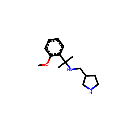 COc1ccccc1C(C)(C)NCC1CCNC1